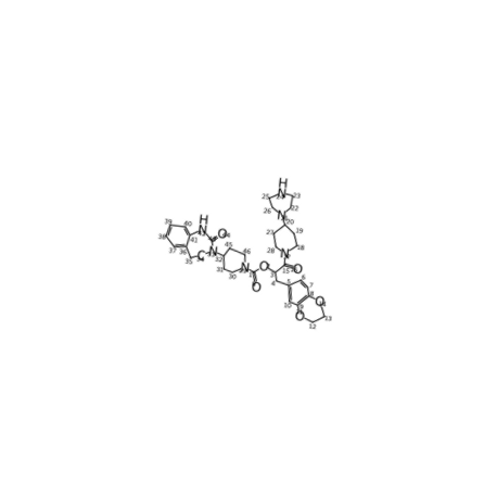 O=C(OC(Cc1ccc2c(c1)OCCO2)C(=O)N1CCC(N2CCNCC2)CC1)N1CCC(N2CCc3ccccc3NC2=O)CC1